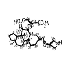 C[C@@]12CCC[C@H]1[C@@H]1C(=O)C(=O)C3C/C(=N/OC4CNC4)CC[C@]3(C)[C@H]1CC2.O=C(O)/C=C/C(=O)O